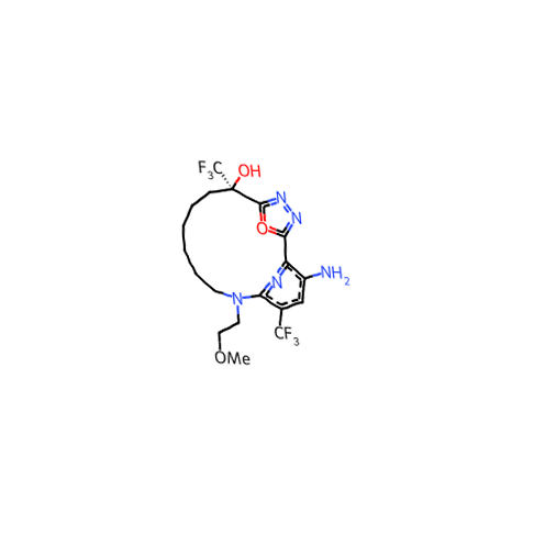 COCCN1CCCCCC[C@](O)(C(F)(F)F)c2nnc(o2)-c2nc1c(C(F)(F)F)cc2N